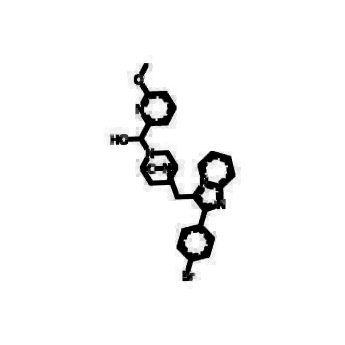 COc1cccc(C(O)N2CC3CCC2CN3Cc2c(-c3ccc(Br)cc3)nc3ccccn23)n1